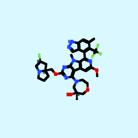 COc1cc2c3c(N4CCOC[C@@](C)(O)C4)nc(OC[C@@]45CCCN4C[C@H](F)C5)nc3n(C)c2c(-c2c(C(F)(F)F)c(C)cc3[nH]ncc23)n1